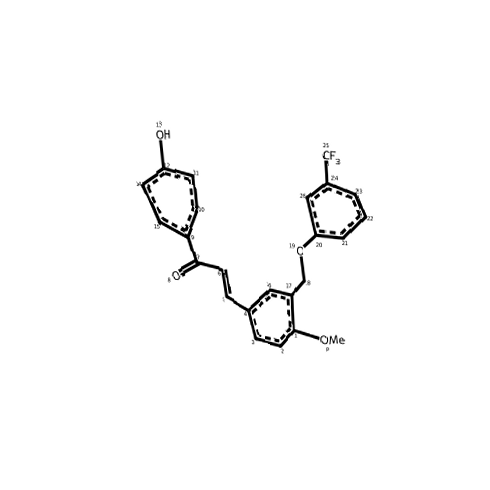 COc1ccc(/C=C/C(=O)c2ccc(O)cc2)cc1COc1cccc(C(F)(F)F)c1